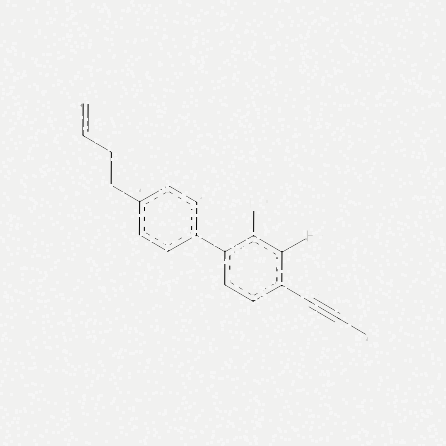 C=CCCc1ccc(-c2ccc(C#CC)c(F)c2F)cc1